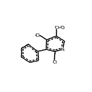 O=Cc1cnc(Cl)c(-c2ccccc2)c1Cl